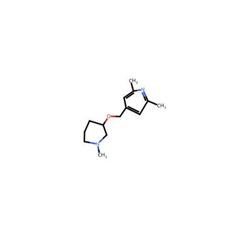 Cc1cc(COC2CCCN(C)C2)cc(C)n1